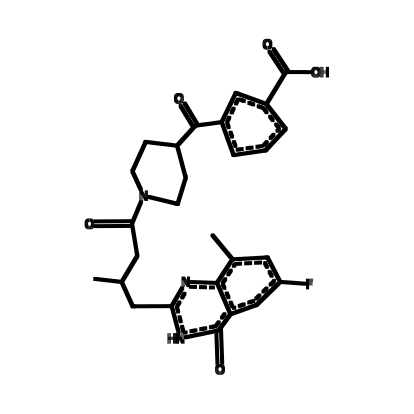 Cc1cc(F)cc2c(=O)[nH]c(CC(C)CC(=O)N3CCC(C(=O)c4cccc(C(=O)O)c4)CC3)nc12